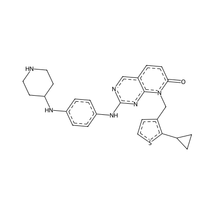 O=c1ccc2cnc(Nc3ccc(NC4CCNCC4)cc3)nc2n1Cc1ccsc1C1CC1